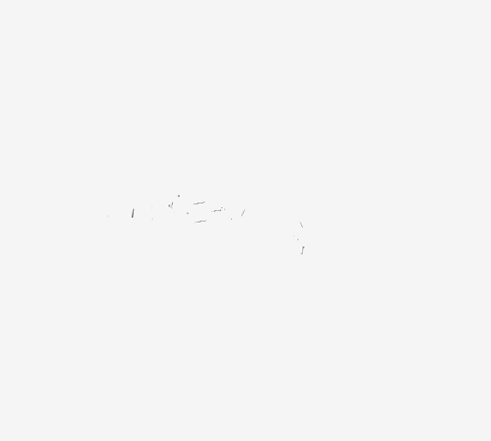 CCSC1CC(=O)N(CCCCCC(=O)NN=C2C=CC3(C)C(=C2)CCC2C3C(O)CC3(C)C(C(=O)CO)CCC23)C1=O